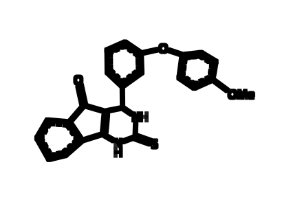 COc1ccc(Oc2cccc(C3NC(=S)NC4=C3C(=O)c3ccccc34)c2)cc1